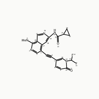 CNc1ncc(C#Cc2ccc(=O)n(C(F)F)c2)c2cc(NC(=O)C3CC3)ncc12